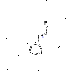 C#C/C=C/c1ccccc1